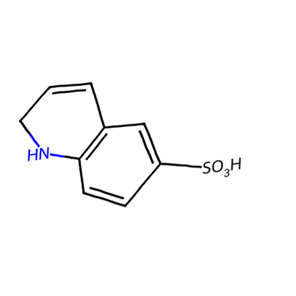 O=S(=O)(O)c1ccc2c(c1)C=CCN2